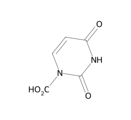 O=C(O)n1ccc(=O)[nH]c1=O